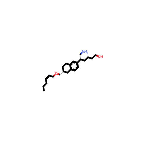 CCC/C=C\COC[C@@H]1CCc2cc([C@H](CN)CCCCO)ccc2C1